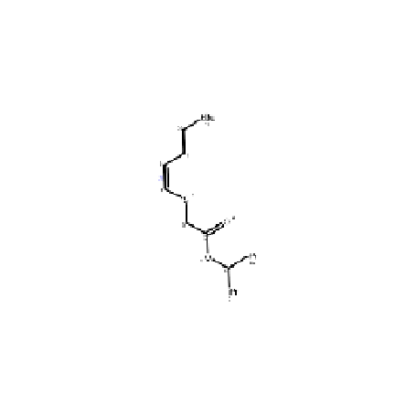 CC(C)C(OC(=O)CS/C=C\CCC(C)(C)C)C(C)C